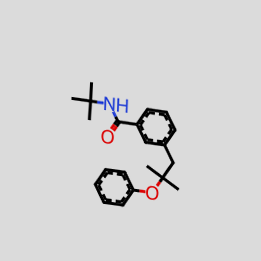 CC(C)(C)NC(=O)c1cccc(CC(C)(C)Oc2ccccc2)c1